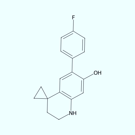 Oc1cc2c(cc1-c1ccc(F)cc1)C1(CCN2)CC1